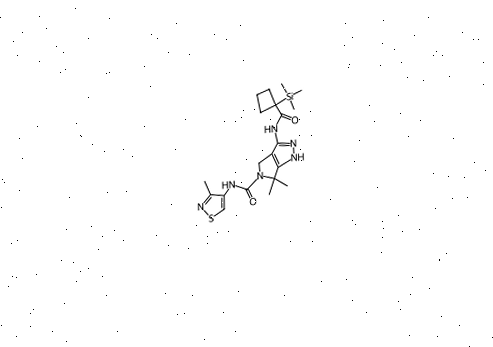 Cc1nscc1NC(=O)N1Cc2c(NC(=O)C3([Si](C)(C)C)CCC3)n[nH]c2C1(C)C